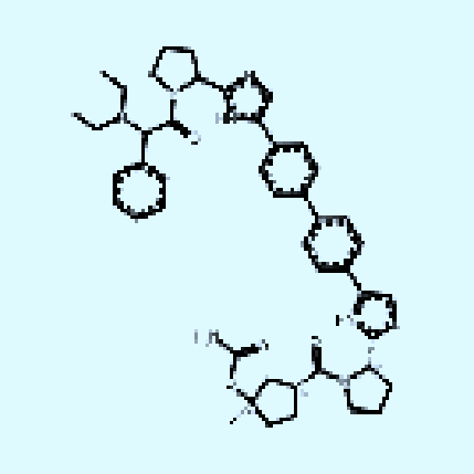 CCN(CC)C(C(=O)N1CCCC1c1ncc(-c2ccc(-c3ccc(-c4cnc([C@@H]5CCCN5C(=O)[C@H]5CC[C@@](C)(OC(N)=O)C5)[nH]4)cc3)cc2)[nH]1)c1ccccc1